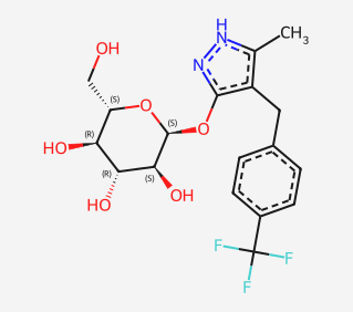 Cc1[nH]nc(O[C@@H]2O[C@@H](CO)[C@H](O)[C@@H](O)[C@@H]2O)c1Cc1ccc(C(F)(F)F)cc1